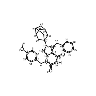 COc1ccc(Cn2c(=O)[nH]c(=O)c3c2nc(C24CC5CC(C2)C(C5)C4)n3Cc2ccccc2)cc1